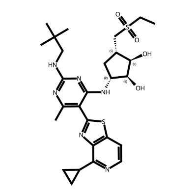 CCS(=O)(=O)C[C@H]1C[C@@H](Nc2nc(NCC(C)(C)C)nc(C)c2-c2nc3c(C4CC4)nccc3s2)[C@H](O)[C@@H]1O